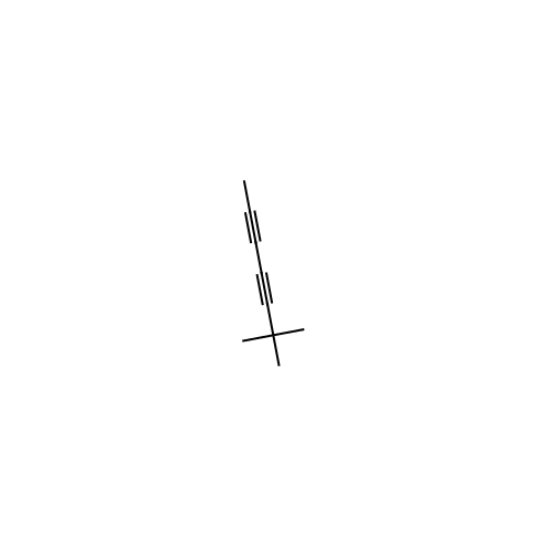 CC#CC#CC(C)(C)C